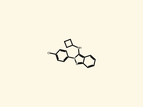 Clc1ccc(-n2nc3ccccc3c2NC2CCC2)cc1